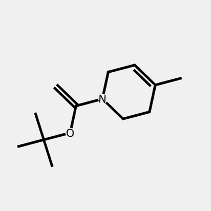 C=C(OC(C)(C)C)N1CC=C(C)CC1